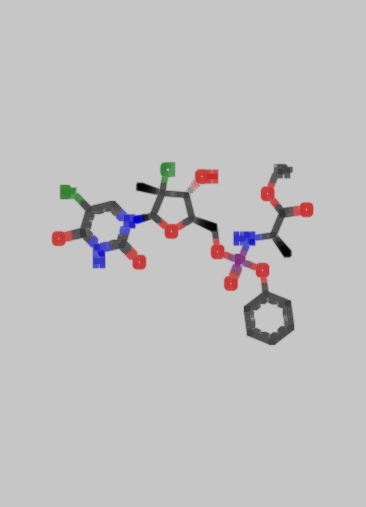 CC(C)OC(=O)[C@@H](C)NP(=O)(OC[C@H]1O[C@@H](n2cc(Br)c(=O)[nH]c2=O)[C@](C)(Cl)[C@@H]1O)Oc1ccccc1